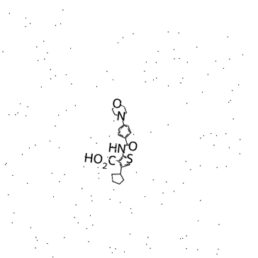 O=C(Nc1scc(C2CCCC2)c1C(=O)O)c1ccc(N2CCOCC2)cc1